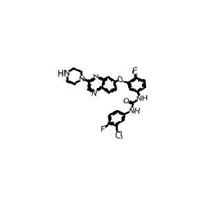 O=C(Nc1ccc(F)c(Cl)c1)Nc1ccc(F)c(Oc2ccc3ncc(N4CCNCC4)nc3c2)c1